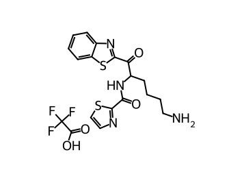 NCCCCC(NC(=O)c1nccs1)C(=O)c1nc2ccccc2s1.O=C(O)C(F)(F)F